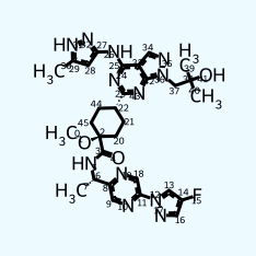 CO[C@]1(C(=O)N[C@@H](C)c2cnc(-n3cc(F)cn3)cn2)CC[C@@H](c2nc(Nc3cc(C)[nH]n3)c3cnn(CC(C)(C)O)c3n2)CC1